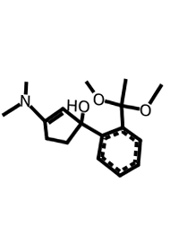 COC(C)(OC)c1ccccc1C1(O)C=C(N(C)C)CC1